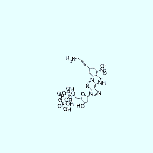 C[C@H](Nc1ncnc2c1ncn2[C@H]1C[C@@H](O)[C@@H](COP(=O)(O)OP(=O)(O)OP(=O)(O)O)O1)c1ccc(C#CCN)cc1[N+](=O)[O-]